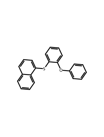 c1ccc(Oc2ccccc2Sc2cccc3ccccc23)cc1